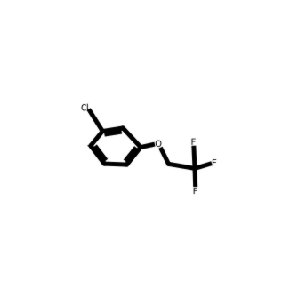 FC(F)(F)COc1cc[c]c(Cl)c1